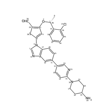 C[C@@H](Oc1cc(-n2cnc3cc(-c4ccc(N5CCC(N)CC5)nc4)ccc32)sc1C=O)c1ccccc1Cl